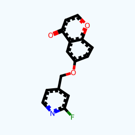 O=c1ccoc2ccc(OCc3ccnc(F)c3)cc12